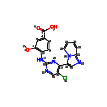 COc1cc(C(=O)O)ccc1Nc1ncc(Cl)c(-c2cnc3ccccn23)n1